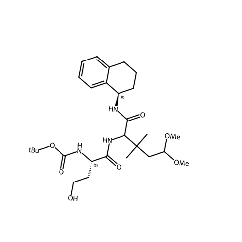 COC(CC(C)(C)C(NC(=O)[C@H](CCO)NC(=O)OC(C)(C)C)C(=O)N[C@@H]1CCCc2ccccc21)OC